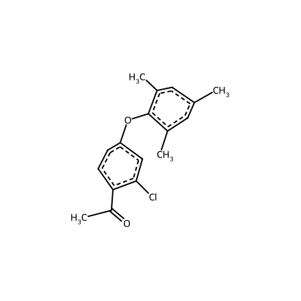 CC(=O)c1ccc(Oc2c(C)cc(C)cc2C)cc1Cl